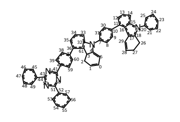 C1=CCC2C(=C1)N(c1ccc(-c3cccc4c3c3c(n4-c4ccccc4)CCC=C3)cc1)c1cccc(-c3ccc(-c4nc(-c5ccccc5)nc(-c5ccccc5)n4)cc3)c12